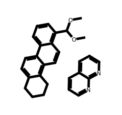 COC(OC)c1cccc2c1ccc1c3c(ccc12)CCCC3.c1cnc2ncccc2c1